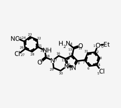 CCOc1cc(Cl)cc(-c2nn3c(c2C(N)=O)CN(C(=O)Nc2ccc(C#N)c(Cl)c2)CC3)c1